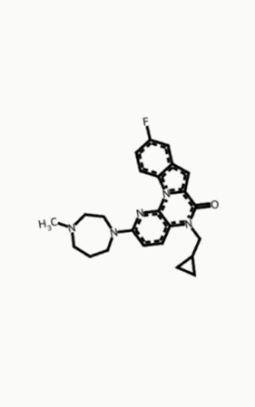 CN1CCCN(c2ccc3c(n2)n2c(cc4cc(F)ccc42)c(=O)n3CC2CC2)CC1